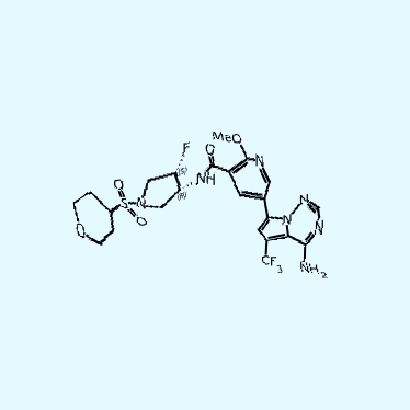 COc1ncc(-c2cc(C(F)(F)F)c3c(N)ncnn23)cc1C(=O)N[C@@H]1CN(S(=O)(=O)C2CCOCC2)C[C@@H]1F